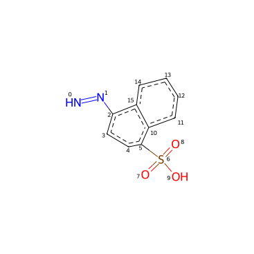 N=Nc1ccc(S(=O)(=O)O)c2ccccc12